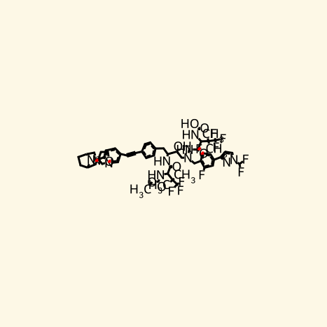 COC(=O)NC(C(=O)NC(Cc1ccc(C#Cc2ccc(N3CC4CCC(C3)N4[C@H]3CCOC3)nc2)cc1)C(O)CN(Cc1c(F)cc(-c2ccn(C(F)F)n2)cc1F)NC(=O)C(NC(=O)O)C(C)(C)C(F)(F)F)C(C)(C)C(F)(F)F